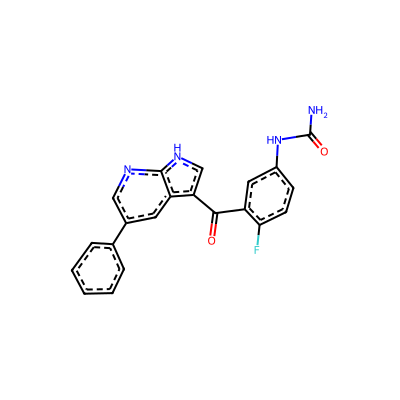 NC(=O)Nc1ccc(F)c(C(=O)c2c[nH]c3ncc(-c4ccccc4)cc23)c1